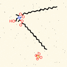 CCCCCCCCC=CCCCCCCCC(=O)OC(C)[N+](C)(CCO)C(C)OC(=O)CCCCCCCC=CCCCCCCCC.COS(=O)(=O)[O-]